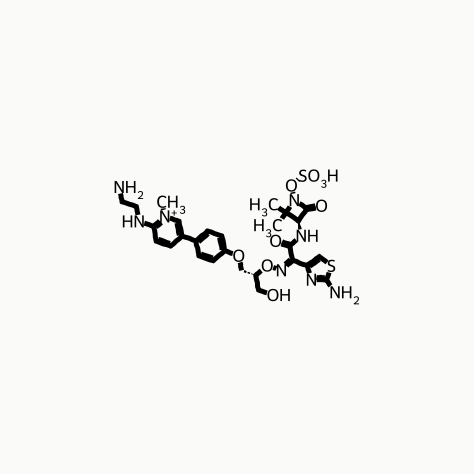 C[n+]1cc(-c2ccc(OC[C@@H](CO)O/N=C(\C(=O)N[C@@H]3C(=O)N(OS(=O)(=O)O)C3(C)C)c3csc(N)n3)cc2)ccc1NCCN